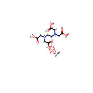 O.O.O=C(O)CN(CCN(CC(=O)O)CC(=O)O)CC(=O)O.[NaH]